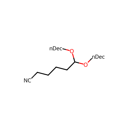 CCCCCCCCCCOC(CCCCC#N)OCCCCCCCCCC